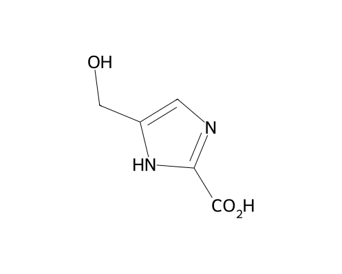 O=C(O)c1ncc(CO)[nH]1